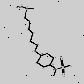 CCCCCN(C)CCCCCCOC1CCC(N(C)S(C)(=O)=O)CC1